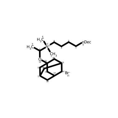 CCCCCCCCCCCCCC[N+](C)(C)C(C)OC12CC3CC(CC(C3)C1)C2.[Br-]